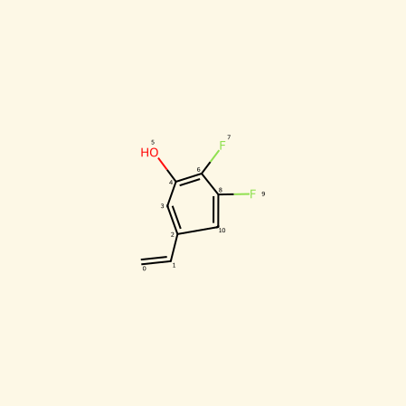 C=Cc1cc(O)c(F)c(F)c1